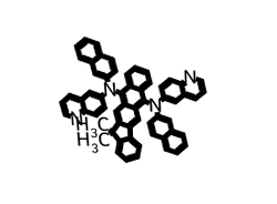 CC1(C)c2ccccc2-c2cc3c(N(c4ccc5ccccc5c4)c4ccc5ncccc5c4)c4ccccc4c(N(c4ccc5ccccc5c4)c4ccc5ncccc5c4)c3cc21